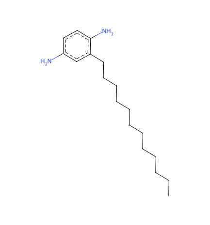 CCCCCCCCCCCCc1cc(N)ccc1N